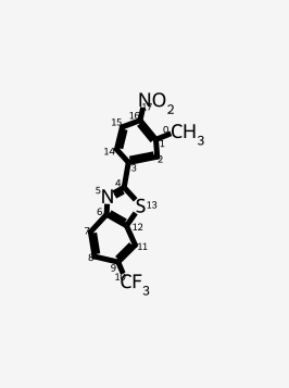 Cc1cc(-c2nc3ccc(C(F)(F)F)cc3s2)ccc1[N+](=O)[O-]